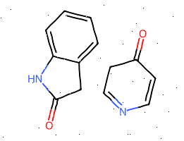 O=C1C=CN=CC1.O=C1Cc2ccccc2N1